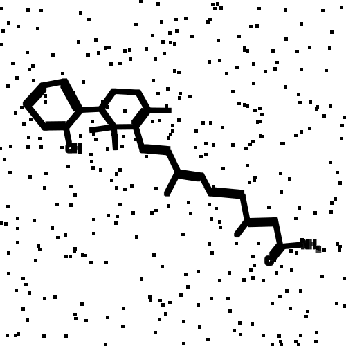 CC1=C(/C=C/C(C)=C/C=C/C(C)=C/C(N)=O)C(C)(C)C(c2ccccc2O)CC1